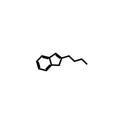 CCCCC1=Cc2ccccc2[CH]1